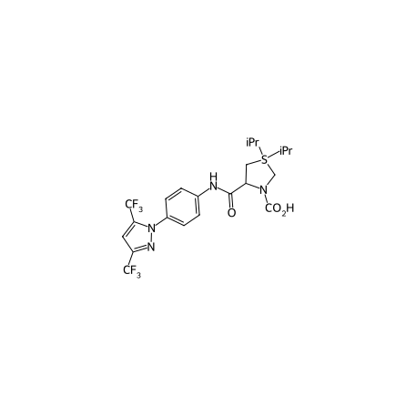 CC(C)S1(C(C)C)CC(C(=O)Nc2ccc(-n3nc(C(F)(F)F)cc3C(F)(F)F)cc2)N(C(=O)O)C1